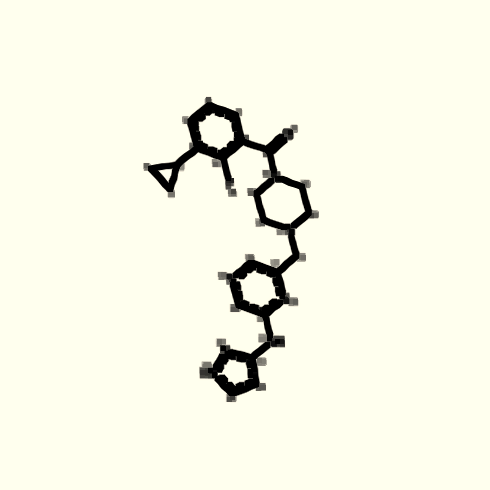 O=C(c1cccc(C2CC2)c1F)N1CCN(Cc2cncc(Nc3cc[nH]n3)n2)CC1